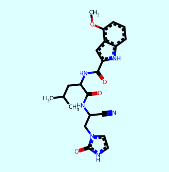 COc1cccc2[nH]c(C(=O)NC(CC(C)C)C(=O)NC(C#N)Cn3cc[nH]c3=O)cc12